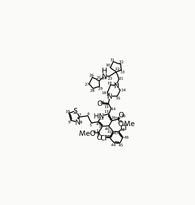 COC(=O)C1=C(CCc2nccs2)NC(CC(=O)N2CCN(CC3(CNC4CCCC4)CCCC3)CC2)=C(C(=O)OC)C1c1c(Cl)cccc1Cl